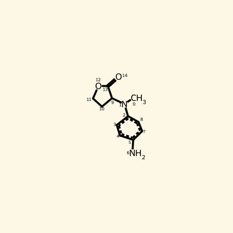 CN(c1ccc(N)cc1)C1CCOC1=O